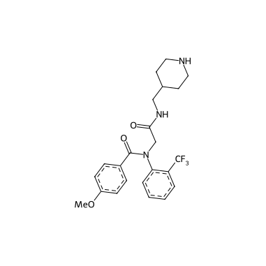 COc1ccc(C(=O)N(CC(=O)NCC2CCNCC2)c2ccccc2C(F)(F)F)cc1